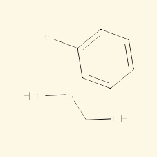 Brc1ccccc1.CCSC